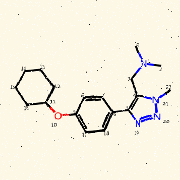 CN(C)Cc1c(-c2ccc(OC3CCCCC3)cc2)nnn1C